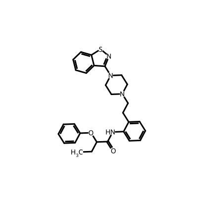 CCC(Oc1ccccc1)C(=O)Nc1ccccc1CCN1CCN(c2nsc3ccccc23)CC1